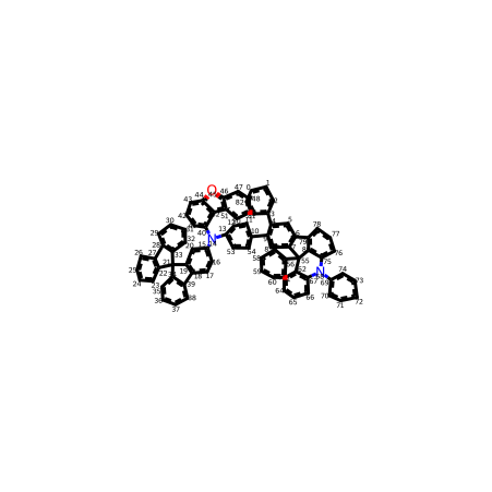 c1ccc(-c2cc3c(cc2-c2ccc(N(c4ccc5c(c4)C4(c6ccccc6-c6ccccc64)c4ccccc4-5)c4cccc5oc6ccccc6c45)cc2)C2(c4ccccc4)c4ccccc4N(c4ccccc4)c4cccc-3c42)cc1